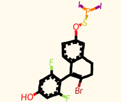 Oc1cc(F)c(C2=C(Br)CCc3cc(OSP(I)I)ccc32)c(F)c1